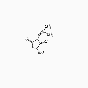 C[SiH](C)OC1C(=O)CC(C(C)(C)C)C1=O